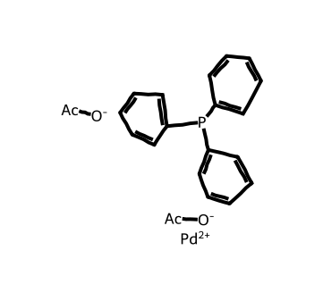 CC(=O)[O-].CC(=O)[O-].[Pd+2].c1ccc(P(c2ccccc2)c2ccccc2)cc1